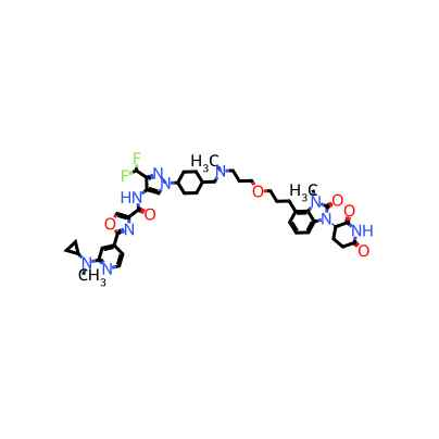 CN(CCCOCCCc1cccc2c1n(C)c(=O)n2[C@H]1CCC(=O)NC1=O)CC1CCC(n2cc(NC(=O)c3coc(-c4ccnc(N(C)C5CC5)c4)n3)c(C(F)F)n2)CC1